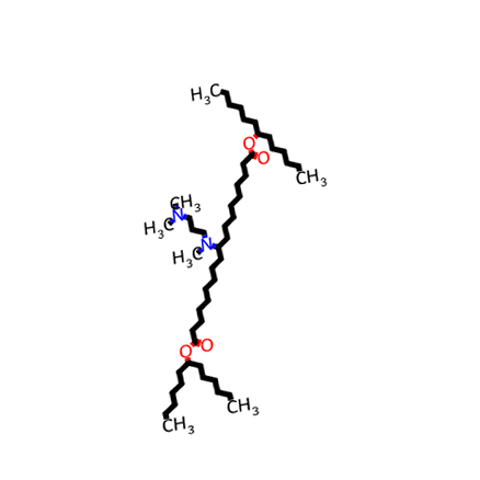 CCCCCCC(CCCCCC)OC(=O)CCCCCCCCC(CCCCCCCCC(=O)OC(CCCCCC)CCCCCC)N(C)CCCN(C)C